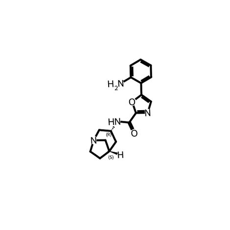 Nc1ccccc1-c1cnc(C(=O)N[C@@H]2C[C@@H]3CCN(C3)C2)o1